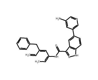 C=C/C(=C\C(=C/C)NC(=O)c1n[nH]c2ccc(-c3cncc(N)c3)cc12)Cc1ccccc1